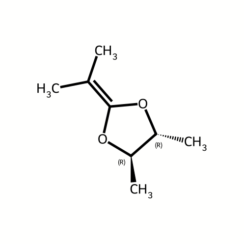 CC(C)=C1O[C@H](C)[C@@H](C)O1